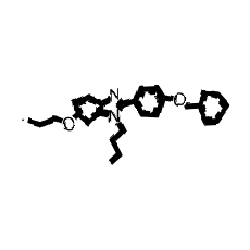 [CH2]CCOc1ccc2nc(-c3ccc(OCc4ccccc4)cc3)n(CCCC)c2c1